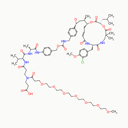 COCCOCCOCCOCCOCCOCCOCCC(=O)N(CCC(=O)O)CCC(=O)N[C@H](C(=O)N[C@@H](C)C(=O)Nc1ccc(COC(=O)NCc2ccc([C@H]3O[C@@H]3[C@@H](C)[C@@H]3C/C=C/C(=O)N[C@H](Cc4ccc(OC)c(Cl)c4)C(=O)NCC(C)(C)C(=O)O[C@@H](CC(C)C)C(=O)O3)cc2)cc1)C(C)C